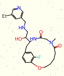 CCc1cncc(CNCC(O)C2Cc3ccc(c(F)c3)OCCCCC(=O)N(C)CC(=O)N2)c1